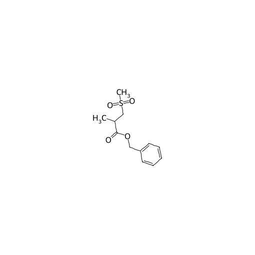 CC(CS(C)(=O)=O)C(=O)OCc1ccccc1